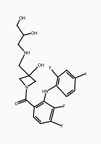 O=C(c1ccc(F)c(F)c1Nc1ccc(I)cc1F)N1CC(O)(CNCC(O)CO)C1